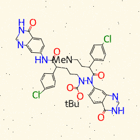 CNCCC(C(=O)N(c1ccc2c(=O)[nH]cnc2c1)N(CCCC(C(=O)Nc1ccc2c(=O)[nH]cnc2c1)c1ccc(Cl)cc1)C(=O)OC(C)(C)C)c1ccc(Cl)cc1